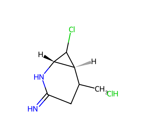 CC1CC(=N)N[C@@H]2C(Cl)[C@@H]12.Cl